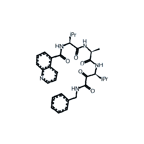 CC(C)[C@H](NC(=O)c1cccc2ncccc12)C(=O)N[C@@H](C)C(=O)N[C@H](C(=O)C(=O)NCc1ccccc1)C(C)C